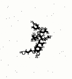 COCCCOc1cc(C[C@@H](C[C@H](N=[N+]=[N-])[C@H](C[C@H](C(=O)NC2CCN(C)C2)C(C)C)O[Si](C)(C)C(C)(C)C)C(C)C)ccc1OC